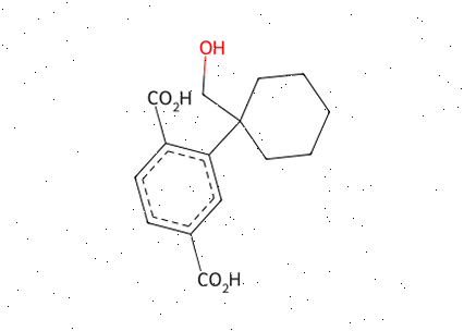 O=C(O)c1ccc(C(=O)O)c(C2(CO)CCCCC2)c1